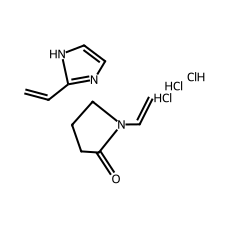 C=CN1CCCC1=O.C=Cc1ncc[nH]1.Cl.Cl.Cl